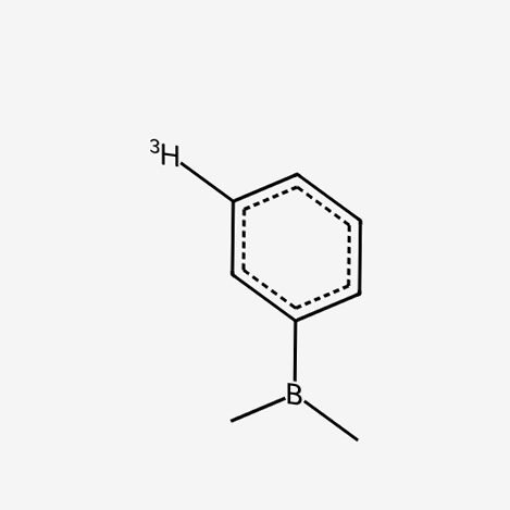 [3H]c1cccc(B(C)C)c1